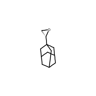 C1C2CC3CC1CC([C@@H]1CO1)(C2)C3